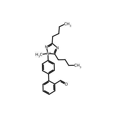 CCCCC1=N[N+](C)(c2ccc(-c3ccccc3C=O)cc2)C(CCCC)=N1